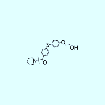 CC(C)(C(=O)c1ccc(Sc2ccc(OCCO)cc2)cc1)N1CCCCC1